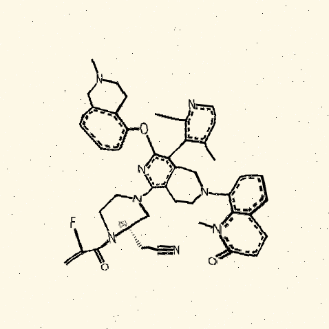 C=C(F)C(=O)N1CCN(c2nc(Oc3cccc4c3CCN(C)C4)c(-c3c(C)ccnc3C)c3c2CCN(c2cccc4ccc(=O)n(C)c24)C3)C[C@@H]1CC#N